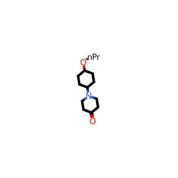 CCCOC1CCC(N2CCC(=O)CC2)CC1